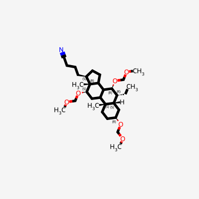 CC[C@H]1[C@@H](OCOC)C2C3CC[C@H](CCCC#N)[C@@]3(C)[C@@H](OCOC)CC2[C@@]2(C)CC[C@@H](OCOC)C[C@@H]12